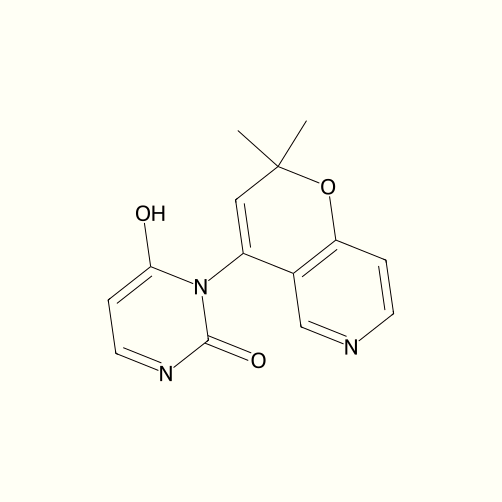 CC1(C)C=C(n2c(O)ccnc2=O)c2cnccc2O1